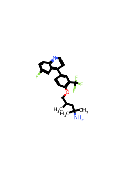 CC(COc1ccc(-c2ccnc3ccc(F)cc23)cc1C(F)(F)F)CC(C)(C)N